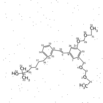 CCOCOCc1cc(C=Cc2cccc(CCCCCC(C)(C)O)c2)cc(OCOCC)c1